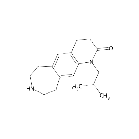 CC(C)CN1C(=O)CCc2cc3c(cc21)CCNCC3